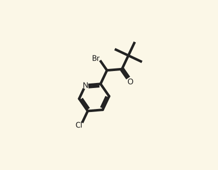 CC(C)(C)C(=O)C(Br)c1ccc(Cl)cn1